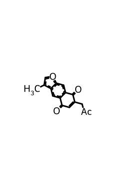 CC(=O)CC1=CC(=O)c2cc3c(C)coc3cc2C1=O